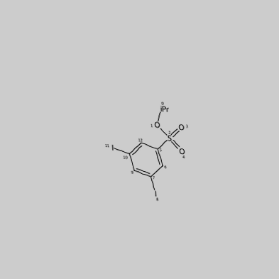 CC(C)OS(=O)(=O)c1cc(I)cc(I)c1